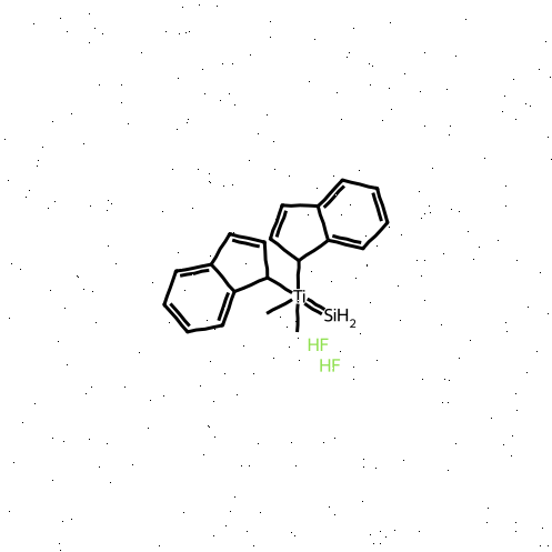 F.F.[CH3][Ti]([CH3])(=[SiH2])([CH]1C=Cc2ccccc21)[CH]1C=Cc2ccccc21